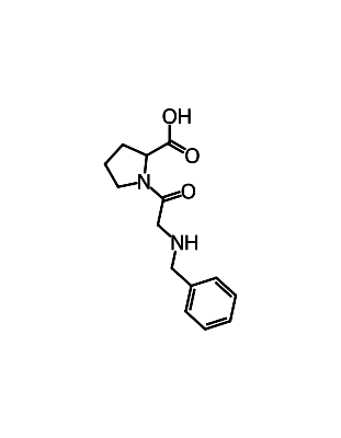 O=C(O)C1CCCN1C(=O)CNCc1ccccc1